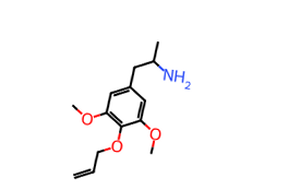 C=CCOc1c(OC)cc(CC(C)N)cc1OC